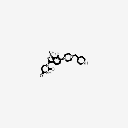 Cn1nc(N2CCC(=O)NC2=O)c2ccc(N3CCN(CC4CCNCC4)CC3)c(F)c21